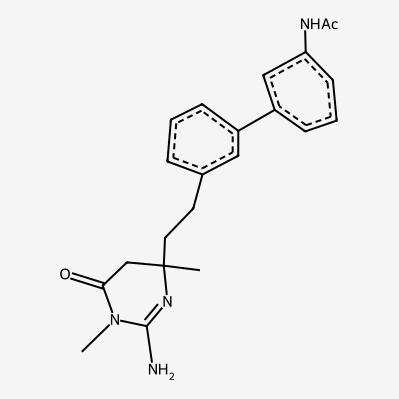 CC(=O)Nc1cccc(-c2cccc(CCC3(C)CC(=O)N(C)C(N)=N3)c2)c1